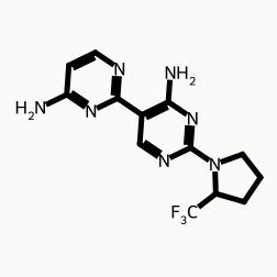 Nc1ccnc(-c2cnc(N3CCCC3C(F)(F)F)nc2N)n1